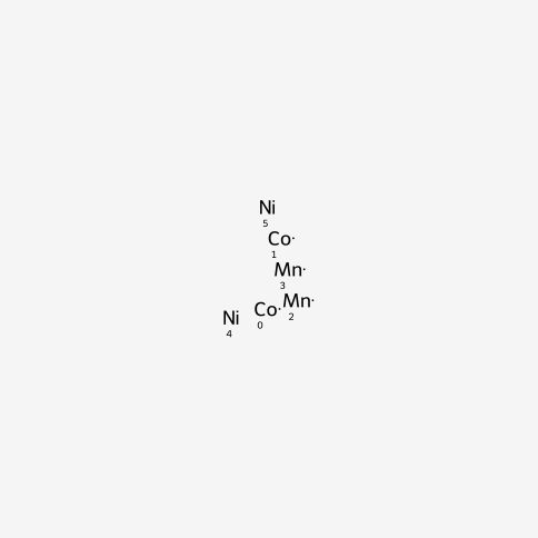 [Co].[Co].[Mn].[Mn].[Ni].[Ni]